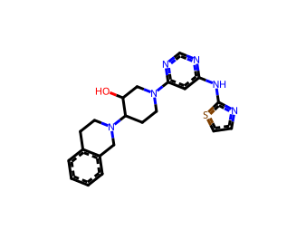 OC1CN(c2cc(Nc3nccs3)ncn2)CCC1N1CCc2ccccc2C1